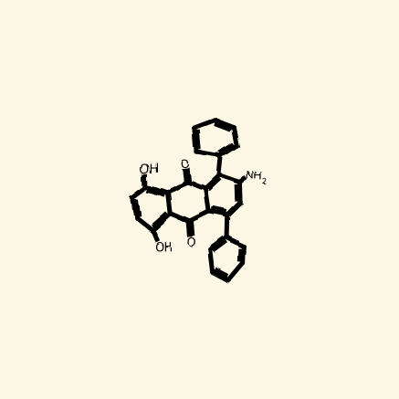 Nc1cc(-c2ccccc2)c2c(c1-c1ccccc1)C(=O)c1c(O)ccc(O)c1C2=O